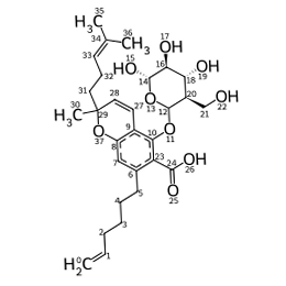 C=CCCCCc1cc2c(c(OC3O[C@H](O)[C@@H](O)[C@H](O)[C@H]3CO)c1C(=O)O)C=CC(C)(CCC=C(C)C)O2